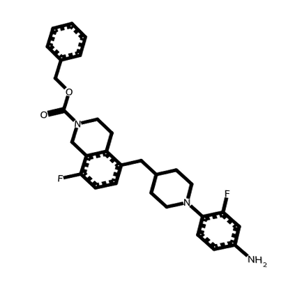 Nc1ccc(N2CCC(Cc3ccc(F)c4c3CCN(C(=O)OCc3ccccc3)C4)CC2)c(F)c1